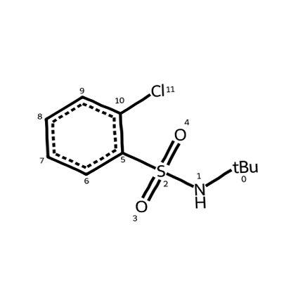 CC(C)(C)NS(=O)(=O)c1ccccc1Cl